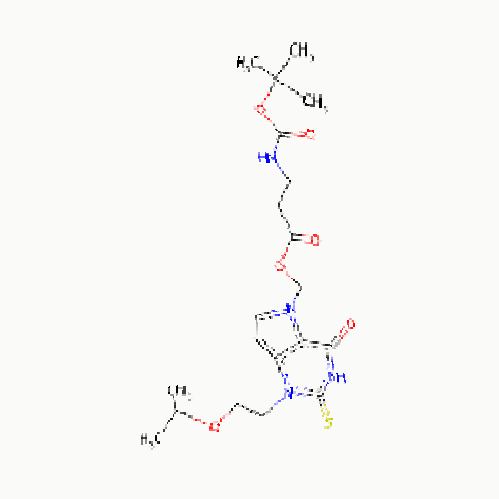 CC(C)OCCn1c(=S)[nH]c(=O)c2c1ccn2COC(=O)CCNC(=O)OC(C)(C)C